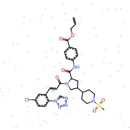 C=CCOC(=O)c1ccc(NC(=O)C2CC(C3CCN(S(C)(=O)=O)CC3)CN2C(=O)/C=C/c2cc(Cl)ccc2-n2cnnn2)cc1